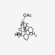 CCC(C)C(=O)[N+](c1ccccc1C)(c1c(C)cccc1C)N1CCN(CCOC(C)=O)CC1